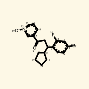 O=C(CC(c1ccc(Br)cc1F)C1CCCC1)c1ccc[n+]([O-])c1